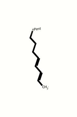 [CH2]/C=C/C=C/CCCCCCCC